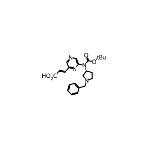 CC(C)(C)OC(=O)N(c1cncc(C=CC(=O)O)n1)[C@@H]1CCN(Cc2ccccc2)C1